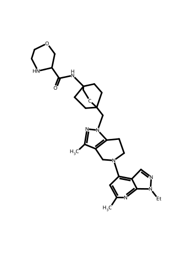 CCn1ncc2c(N3CCc4c(c(C)nn4CC45CCC(NC(=O)C6COCCN6)(CC4)CC5)C3)cc(C)nc21